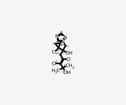 CC(C)(O)C(Cl)=C(Cl)CC(O)(Cn1cncn1)C1(Cl)CC1